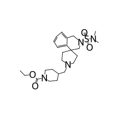 CCOC(=O)N1CCC(CN2CCC3(CC2)CN(S(=O)(=O)N(C)C)Cc2ccccc23)CC1